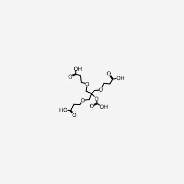 O=C(O)CCOCC(COCCC(=O)O)(COCCC(=O)O)OC(=O)O